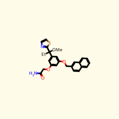 CCC(OC)(c1cc(OCC(N)=O)cc(OCc2ccc3ccccc3c2)c1)c1nccs1